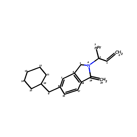 C=CC(CCC)N1Cc2cc(CC3CCCCC3)ccc2C1=C